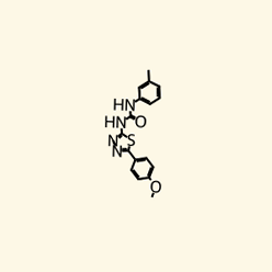 COc1ccc(-c2nnc(NC(=O)Nc3cccc(C)c3)s2)cc1